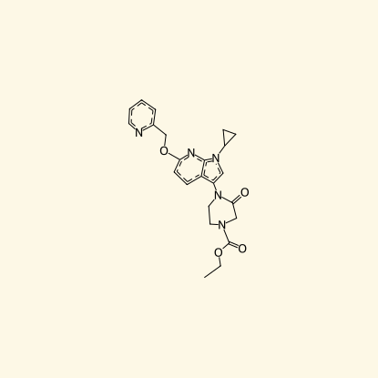 CCOC(=O)N1CCN(c2cn(C3CC3)c3nc(OCc4ccccn4)ccc23)C(=O)C1